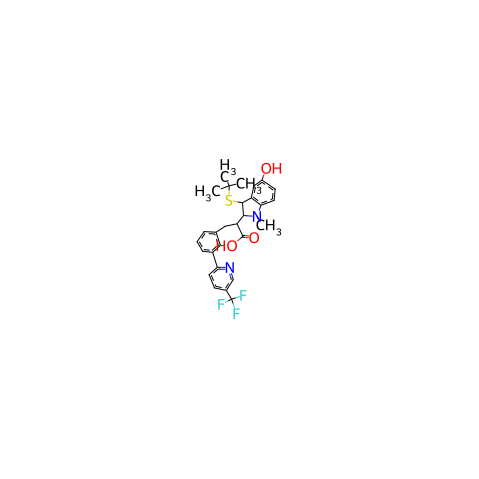 CN1c2ccc(O)cc2C(SC(C)(C)C)C1C(Cc1cccc(-c2ccc(C(F)(F)F)cn2)c1)C(=O)O